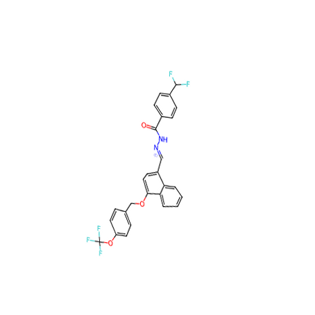 O=C(N/N=C/c1ccc(OCc2ccc(OC(F)(F)F)cc2)c2ccccc12)c1ccc(C(F)F)cc1